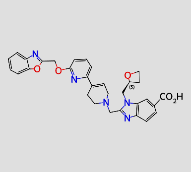 O=C(O)c1ccc2nc(CN3CC=C(c4cccc(OCc5nc6ccccc6o5)n4)CC3)n(C[C@@H]3CCO3)c2c1